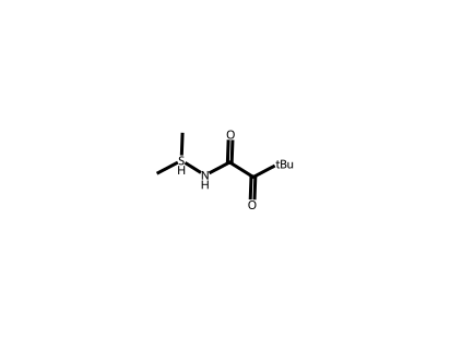 C[SH](C)NC(=O)C(=O)C(C)(C)C